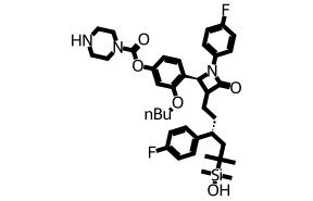 CCCCOc1cc(OC(=O)N2CCNCC2)ccc1[C@@H]1C(CC[C@H](CC(C)(C)[Si](C)(C)O)c2ccc(F)cc2)C(=O)N1c1ccc(F)cc1